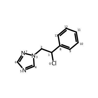 ClC(Cn1cncn1)c1ccccc1